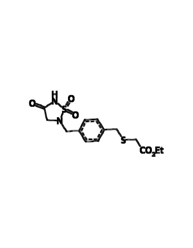 CCOC(=O)CSCc1ccc(CN2CC(=O)NS2(=O)=O)cc1